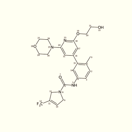 Cc1ccc(NC(=O)N2CC=C(C(F)(F)F)C2)cc1-c1cc(OCCO)nc(N2CCOCC2)c1